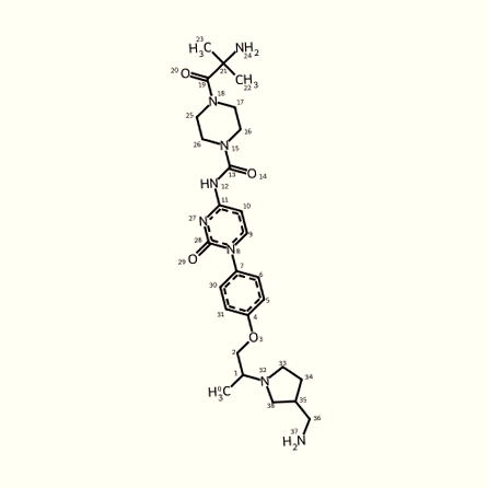 CC(COc1ccc(-n2ccc(NC(=O)N3CCN(C(=O)C(C)(C)N)CC3)nc2=O)cc1)N1CCC(CN)C1